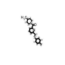 CC1CCN(C(=O)c2cccc(CSc3ccc(F)cc3)n2)CC1